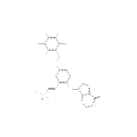 O=c1[nH]cnc2c(Sc3ccc(OCc4c(F)c(F)c(F)c(F)c4F)cc3C=CP(=O)(O)O)c[nH]c12